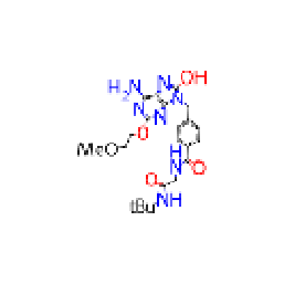 COCCOc1nc(N)c2nc(O)n(Cc3ccc(C(=O)NCC(=O)NC(C)(C)C)cc3)c2n1